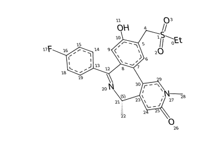 CCS(=O)(=O)Cc1cc2c(cc1O)C(c1ccc(F)cc1)=N[C@@H](C)c1cc(=O)n(C)cc1-2